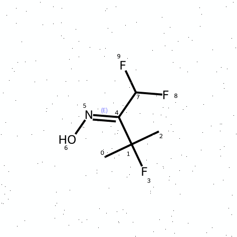 CC(C)(F)/C(=N\O)C(F)F